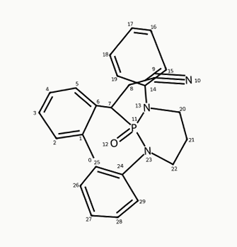 Cc1ccccc1C(CC#N)P1(=O)N(c2ccccc2)CCCN1c1ccccc1